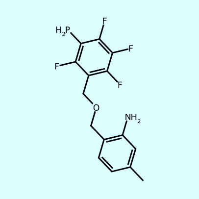 Cc1ccc(COCc2c(F)c(F)c(F)c(P)c2F)c(N)c1